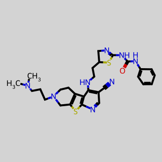 CN(C)CCCN1CCc2c(sc3ncc(C#N)c(NCCC4CN=C(NC(=O)Nc5ccccc5)S4)c23)C1